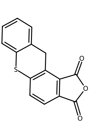 O=C1OC(=O)c2c1ccc1c2Cc2ccccc2S1